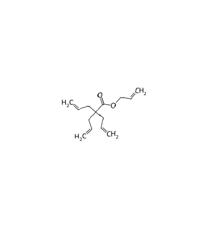 C=CCOC(=O)C(CC=C)(CC=C)CC=C